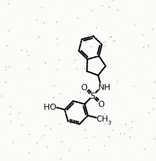 Cc1ccc(O)cc1S(=O)(=O)NC1Cc2ccccc2C1